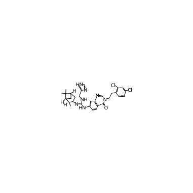 C[C@@H]1C(/N=C(\NCc2c[nH]cn2)Nc2ccc3c(=O)n(CCc4ccc(Cl)cc4Cl)cnc3c2)C[C@@H]2C[C@H]1C2(C)C